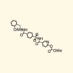 COC(=O)Oc1ccc(C(=O)NS(=O)(=O)c2ccc(C(=O)NCCc3ccccc3OC)cc2)cn1